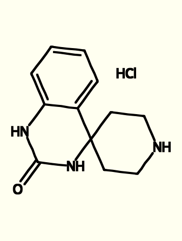 Cl.O=C1Nc2ccccc2C2(CCNCC2)N1